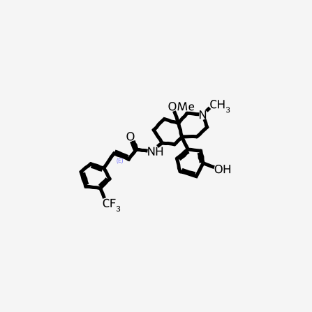 COC12CCC(NC(=O)/C=C/c3cccc(C(F)(F)F)c3)CC1(c1cccc(O)c1)CCN(C)C2